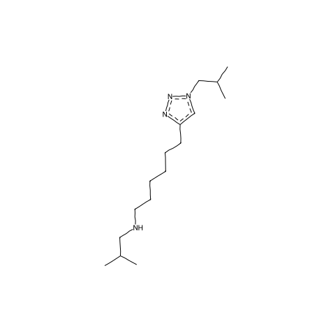 CC(C)CNCCCCCCc1cn(CC(C)C)nn1